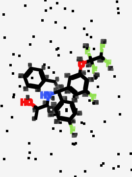 CC(O)C(N[C@](Cc1ccccc1)(c1ccc(F)cc1)c1cc(F)cc(OC(F)(F)C(F)F)c1)C(F)(F)F